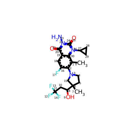 Cc1c(N2CCC(C)(C(O)CC(F)(F)F)C2)c(F)cc2c(=O)n(N)c(=O)n(C3CC3)c12